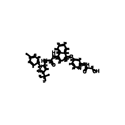 Cc1ccc(-n2nc(C(C)(C)C)cc2NC(=O)Nc2ccc(Oc3ccnc(NC(=O)CO)c3)c3ccccc23)cc1